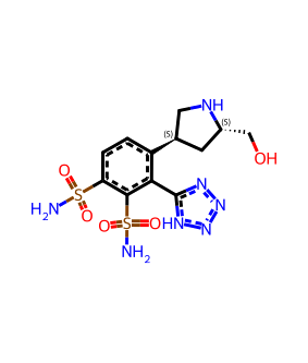 NS(=O)(=O)c1ccc([C@H]2CN[C@H](CO)C2)c(-c2nnn[nH]2)c1S(N)(=O)=O